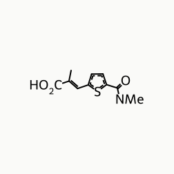 CNC(=O)c1ccc(C=C(C)C(=O)O)s1